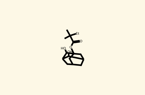 CCC(C)(C)C(=O)OC12CC3CC(C1)C(O)C(C3)C2O